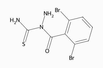 NC(=S)N(N)C(=O)c1c(Br)cccc1Br